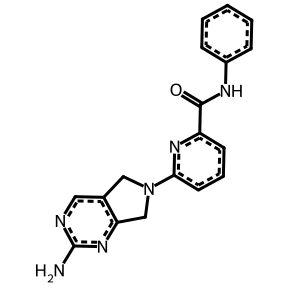 Nc1ncc2c(n1)CN(c1cccc(C(=O)Nc3ccccc3)n1)C2